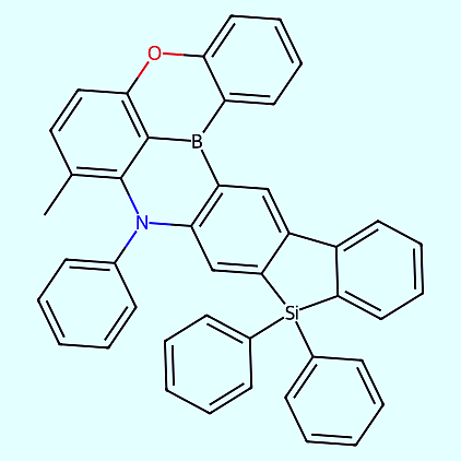 Cc1ccc2c3c1N(c1ccccc1)c1cc4c(cc1B3c1ccccc1O2)-c1ccccc1[Si]4(c1ccccc1)c1ccccc1